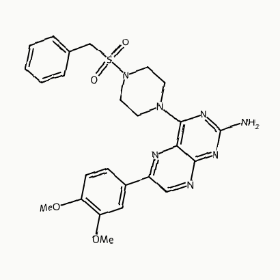 COc1ccc(-c2cnc3nc(N)nc(N4CCN(S(=O)(=O)Cc5ccccc5)CC4)c3n2)cc1OC